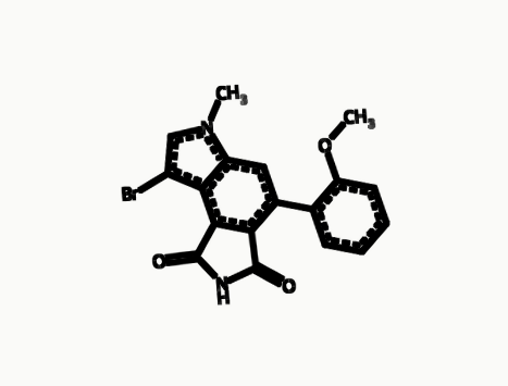 COc1ccccc1-c1cc2c(c(Br)cn2C)c2c1C(=O)NC2=O